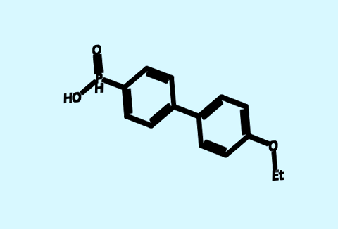 CCOc1ccc(-c2ccc([PH](=O)O)cc2)cc1